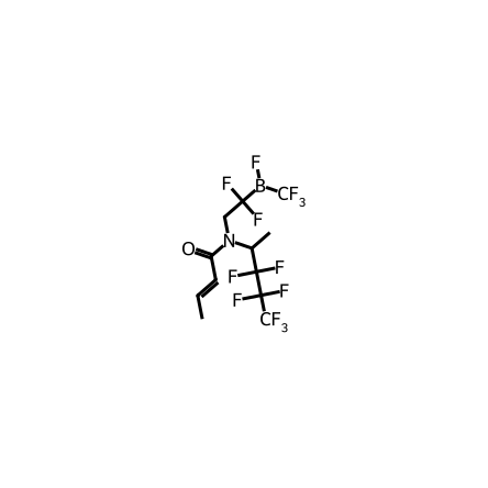 C/C=C/C(=O)N(CC(F)(F)B(F)C(F)(F)F)C(C)C(F)(F)C(F)(F)C(F)(F)F